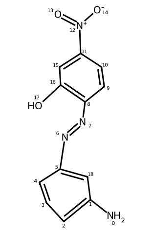 Nc1cc[c]c(N=Nc2ccc([N+](=O)[O-])cc2O)c1